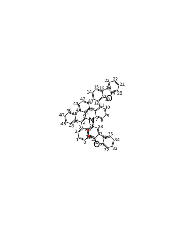 c1ccc(-c2c(N(c3cccc(-c4cccc5c4oc4ccccc45)c3)c3ccc4oc5ccccc5c4c3)c3ccccc3c3ccccc23)cc1